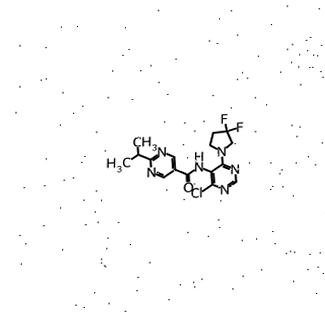 CC(C)c1ncc(C(=O)Nc2c(Cl)ncnc2N2CCC(F)(F)C2)cn1